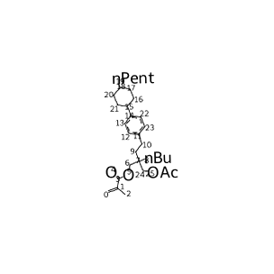 C=C(C)C(=O)OCC(CCCC)(CCc1ccc(C2CCC(CCCCC)CC2)cc1)COC(C)=O